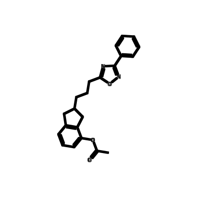 CC(=O)Oc1cccc2c1CC(CCCc1nc(-c3ccccc3)no1)C2